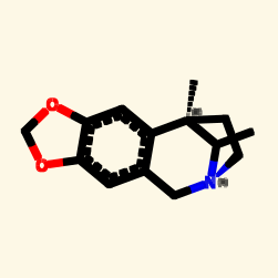 CC1[N@@]2CC[C@]1(C)c1cc3c(cc1C2)OCO3